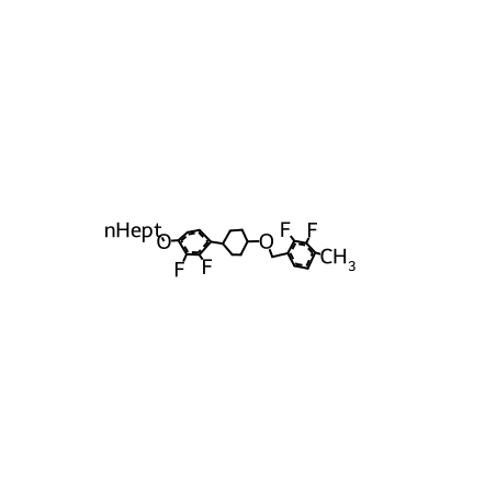 CCCCCCCOc1ccc(C2CCC(OCc3ccc(C)c(F)c3F)CC2)c(F)c1F